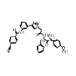 COc1ccc(N(C)C(=O)[C@H](Cc2ccccc2)NC(=O)Cn2cc(-c3cccc(NC(=O)c4ccc(C#N)cc4)c3)nn2)cc1